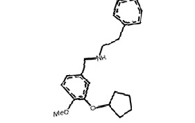 COc1ccc(CNCCc2ccccc2)cc1OC1CCCC1